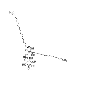 CCCCCCCCCCCCCCCCCC(=O)N[C@@H](COP(=O)(O)OC1C(O)C(O)C(O)[C@@H](O)C1O)[C@H](O)[C@H](O)CCCCCCCCCCCCCCCC